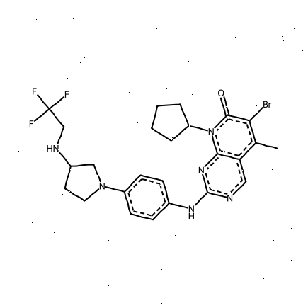 Cc1c(Br)c(=O)n(C2CCCC2)c2nc(Nc3ccc(N4CCC(NCC(F)(F)F)C4)cc3)ncc12